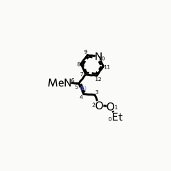 CCOOC/C=C(/NC)c1ccncc1